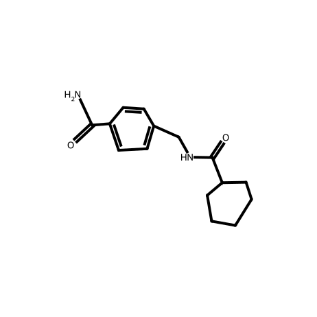 NC(=O)c1ccc(CNC(=O)[C]2CCCCC2)cc1